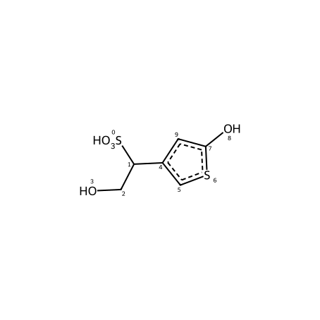 O=S(=O)(O)C(CO)c1csc(O)c1